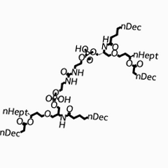 CCCCCCCCCCCCCC(=O)NC(COCC[C@@H](CCCCCCC)OC(=O)CCCCCCCCCCC)COP(=O)(O)OCCNC(=O)NCCOP(=O)(O)OC[C@@H](COCC[C@@H](CCCCCCC)OC(=O)CCCCCCCCCCC)NC(=O)CCCCCCCCCCCCC